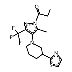 CCC(=O)n1nc(C(F)(F)F)c(N2CCCC(c3nccs3)C2)c1C